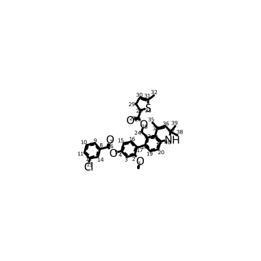 COc1cc(OC(=O)c2cccc(Cl)c2)ccc1-c1ccc2c(c1COC(=O)C1CC=C(C)S1)C(C)=CC(C)(C)N2